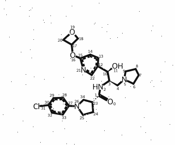 O=C(N[C@H](CN1CCCC1)[C@H](O)c1ccc(OC2COC2)nc1)[C@@H]1CCN(c2ccc(Cl)cc2)C1